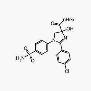 CCCCCCC(=O)C1(O)CN(c2ccc(S(N)(=O)=O)cc2)C(c2ccc(Cl)cc2)=N1